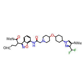 CNC(=O)C(CCC=O)c1noc2c(NC(=O)CN3CCC(OC4CCC(n5cc(NC)c(C(F)F)n5)CC4)CC3)cccc12